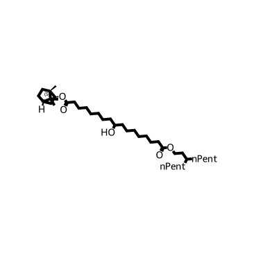 CCCCCC(CCCCC)CCOC(=O)CCCCCCCC(O)CCCCCCCC(=O)O[C@@H]1C[C@@H]2CC[C@@]1(C)C2(C)C